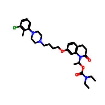 CCN(CC)C(=O)OC(C)N1C(=O)CCc2ccc(OCCCCN3CCN(c4cccc(Cl)c4C)CC3)cc21